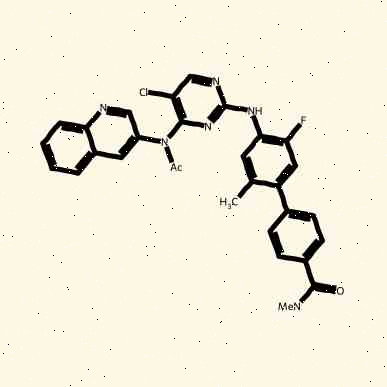 CNC(=O)c1ccc(-c2cc(F)c(Nc3ncc(Cl)c(N(C(C)=O)c4cnc5ccccc5c4)n3)cc2C)cc1